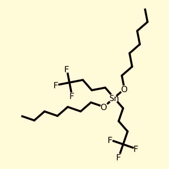 CCCCCCC[O][Sn]([CH2]CCC(F)(F)F)([CH2]CCC(F)(F)F)[O]CCCCCCC